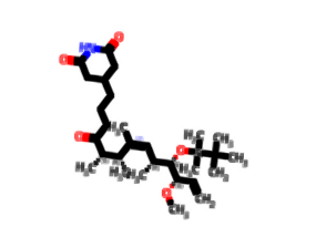 C=C[C@H](OC)[C@@H](O[Si](C)(C)C(C)(C)C)[C@H](C)/C=C(/C)[C@H](C)[C@H](C)C(=O)CCCC1CC(=O)NC(=O)C1